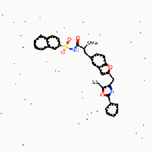 CCc1oc(-c2ccccc2)nc1Cc1cc2cc(CC(SC)C(=O)NS(=O)(=O)c3ccc4ccccc4c3)ccc2o1